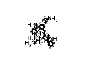 CN(C(=O)[C@@H](N)CN)[C@@H](Cc1c[nH]c2ccccc12)C(=O)NCc1cc(N2CCC(N)C2)cc(Cl)c1Sc1ncccc1CN